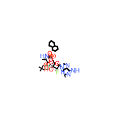 CNc1nc(C)nc2c1ncn2[C@@H]1O[C@](CCl)(CO[P@](=O)(N[C@H](C)C(=O)OCC(C)(C)C)Oc2cccc3ccccc23)[C@@H](O)[C@H]1F